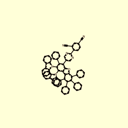 N#Cc1ccc(-c2ncc(-c3c(-c4ccccc4)c(-n4c5ccccc5c5ccccc54)c(-n4c5ccccc5c5ccccc54)c4c3oc3c(-c5ccccc5)c(-c5ccccc5)c(-c5ccccc5)c(-c5ccccc5)c34)cn2)c(C#N)c1